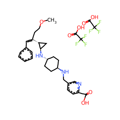 COCCC(=Cc1ccccc1)[C@@H]1C[C@H]1N[C@H]1CC[C@H](NCc2ccc(C(=O)O)nc2)CC1.O=C(O)C(F)(F)F.O=C(O)C(F)(F)F